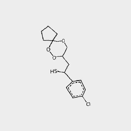 SC(CC1COC2(CCCC2)OO1)c1ccc(Cl)cc1